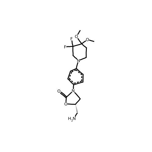 COC1(OC)CCN(c2ccc(N3C[C@H](CN)OC3=O)cc2)CC1(F)F